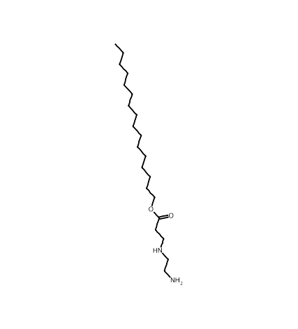 CCCCCCCCCCCCCCCCOC(=O)CCNCCN